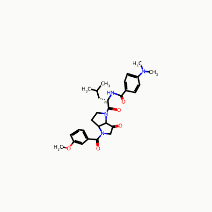 COc1cccc(C(=O)N2CC(=O)C3C2CCN3C(=O)[C@H](CC(C)C)NC(=O)c2ccc(N(C)C)cc2)c1